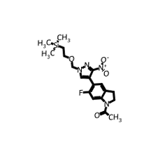 CC(=O)N1CCc2cc(-c3cn(COCC[Si](C)(C)C)nc3[N+](=O)[O-])c(F)cc21